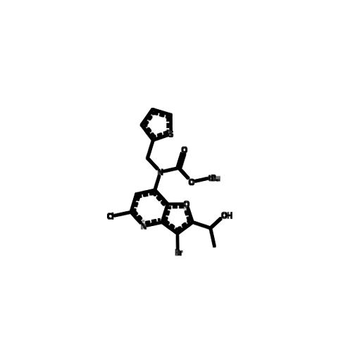 CC(O)c1oc2c(N(Cc3cccs3)C(=O)OC(C)(C)C)cc(Cl)nc2c1Br